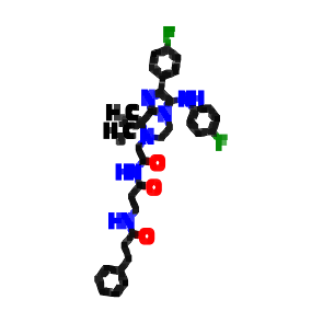 CC1(C)c2nc(-c3ccc(F)cc3)c(Nc3ccc(F)cc3)n2CCN1CC(=O)NC(=O)CCNC(=O)CCc1ccccc1